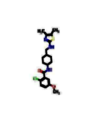 COc1ccc(Cl)c(C(=O)NC2CCC(CNc3nc(C)c(C)s3)CC2)c1